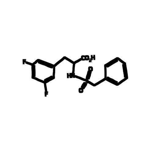 O=C(O)C(Cc1cc(F)cc(F)c1)NS(=O)(=O)Cc1ccccc1